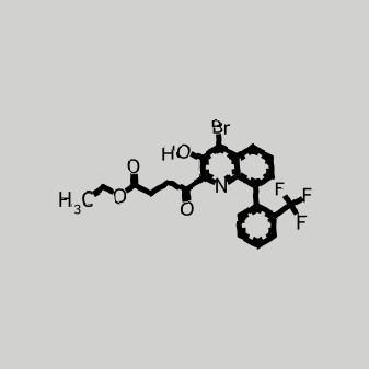 CCOC(=O)CCC(=O)c1nc2c(-c3ccccc3C(F)(F)F)cccc2c(Br)c1O